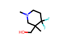 CN1CCC(F)(F)C(C)(CO)C1